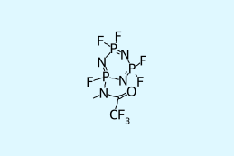 CN(C(=O)C(F)(F)F)P1(F)=NP(F)(F)=NP(F)(F)=N1